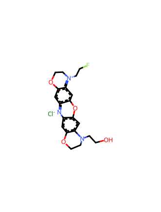 OCCN1CCOc2cc3c(cc21)Oc1cc2c(cc1=N3)OCC[N+]=2CCF.[Cl-]